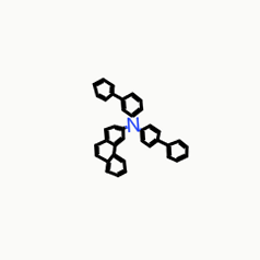 c1ccc(-c2ccc(N(c3cccc(-c4ccccc4)c3)c3ccc4ccc5ccccc5c4c3)cc2)cc1